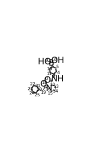 O=C(Nc1ccc(B(O)O)cc1)[C@@H]1CCCN1C(=O)Cc1ccccc1